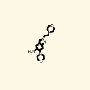 Nc1cc2cn(CCN3CCOCC3)nc2cc1N1CCOCC1